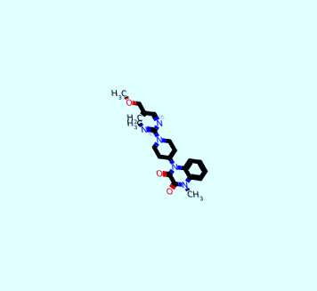 C=C(/C=N\C(=N/C)N1CCC(n2c(=O)c(=O)n(C)c3ccccc32)CC1)COC